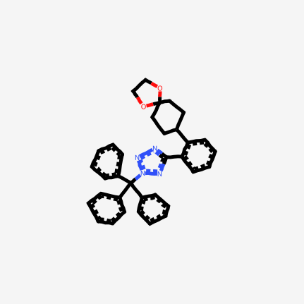 c1ccc(C(c2ccccc2)(c2ccccc2)n2nnc(-c3ccccc3C3CCC4(CC3)OCCO4)n2)cc1